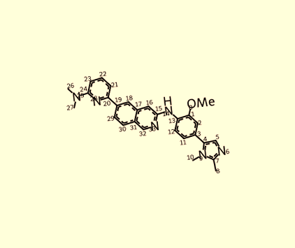 COc1cc(-c2cnc(C)n2C)ccc1Nc1cc2cc(-c3cccc(N(C)C)n3)ccc2cn1